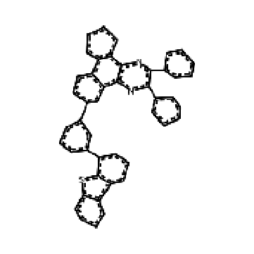 c1ccc(-c2nc3c4ccccc4c4ccc(-c5cccc(-c6cccc7c6sc6ccccc67)c5)cc4c3nc2-c2ccccc2)cc1